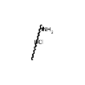 CCCCCCCCCCCCCCCCCCC(CC)C(C)(C)N.Cl